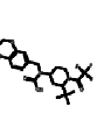 CC(C)(C)C1CC(N(Cc2ccc3c(c2)OCCO3)C(=O)O)CCN1C(=O)C(F)(F)F